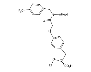 CCCCCCCN(Cc1ccc(C(F)(F)F)cc1)C(=O)COc1ccc(C[C@H](OCC)C(=O)O)cc1